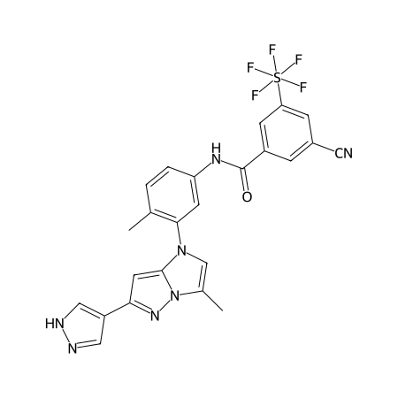 Cc1ccc(NC(=O)c2cc(C#N)cc(S(F)(F)(F)(F)F)c2)cc1-n1cc(C)n2nc(-c3cn[nH]c3)cc12